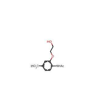 CC(=O)Nc1ccc(C(=O)O)cc1OCCO